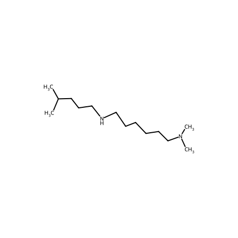 CC(C)CCCNCCCCCCN(C)C